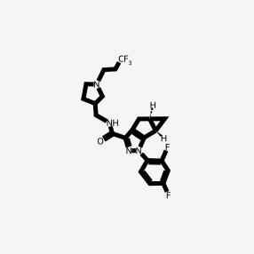 O=C(NCC1CCN(CCC(F)(F)F)C1)c1nn(-c2ccc(F)cc2F)c2c1C[C@H]1C[C@@H]21